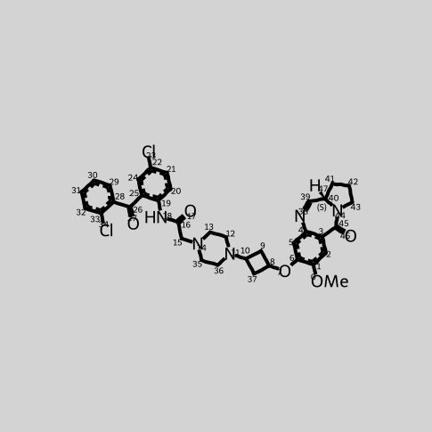 COc1cc2c(cc1OC1CC(N3CCN(CC(=O)Nc4ccc(Cl)cc4C(=O)c4ccccc4Cl)CC3)C1)N=C[C@@H]1CCCN1C2=O